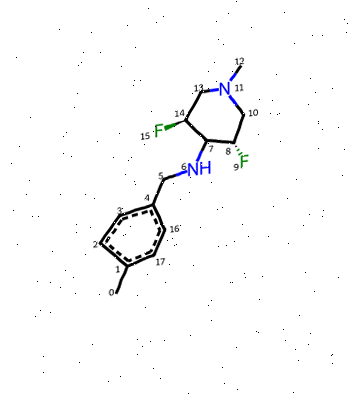 Cc1ccc(CNC2[C@@H](F)CN(C)C[C@@H]2F)cc1